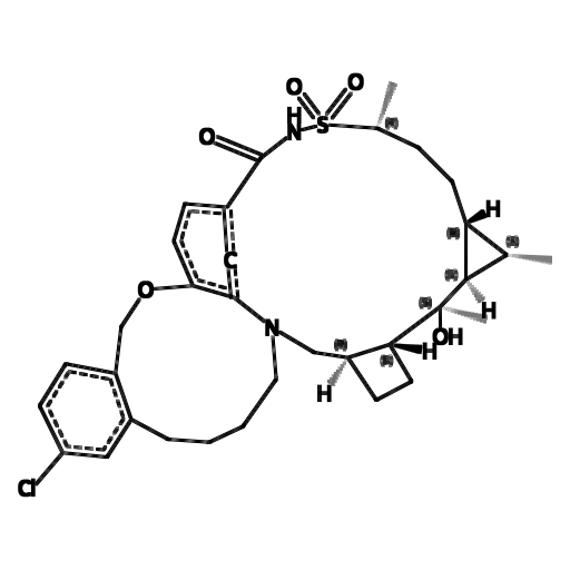 C[C@H]1[C@H]2CC[C@@H](C)S(=O)(=O)NC(=O)c3ccc4c(c3)N(CCCCc3cc(Cl)ccc3CO4)C[C@@H]3CC[C@H]3[C@](C)(O)[C@H]12